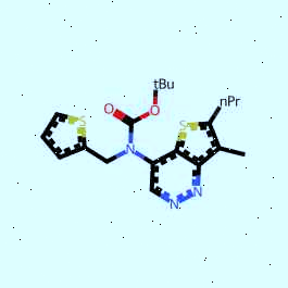 CCCc1sc2c(N(Cc3cccs3)C(=O)OC(C)(C)C)cnnc2c1C